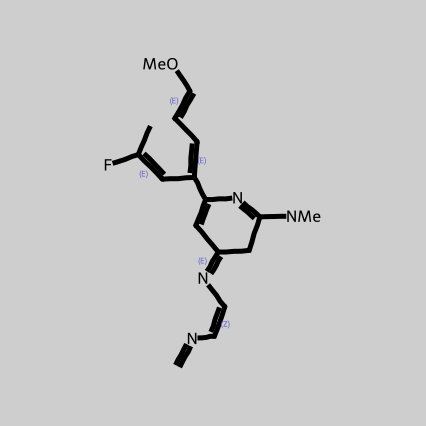 C=N/C=C\N=C1C=C(C(/C=C(\C)F)=C/C=C/OC)N=C(NC)C\1